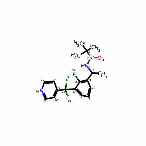 CC(N[S+]([O-])C(C)(C)C)c1cccc(C(F)(F)c2ccncc2)c1F